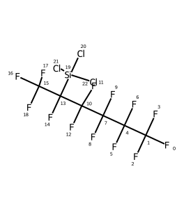 FC(F)(F)C(F)(F)C(F)(F)C(F)(F)C(F)(C(F)(F)F)[Si](Cl)(Cl)Cl